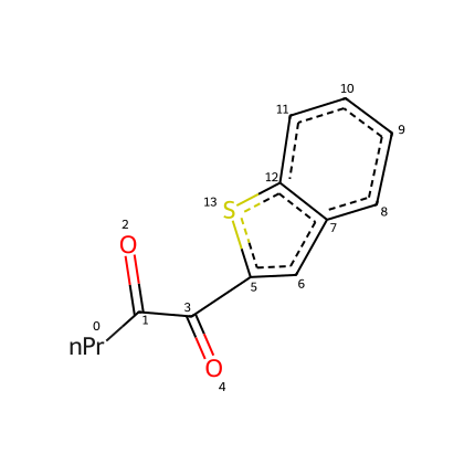 CCCC(=O)C(=O)c1cc2ccccc2s1